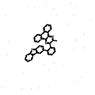 Cc1nc2c3ccccc3c3ccccc3c2nc1-c1ccccc1-c1ccc2sc3ccccc3c2c1